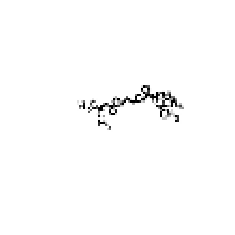 CC(C)CC(=O)OCCCOCC(=O)N(C)CC(C)C